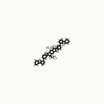 CC1(C)c2cc3c(cc2-c2oc4ccc(-c5cccc6c5oc5ccccc56)cc4c21)C(C)(C)c1c-3oc2ccc(-c3cccc4c3oc3ccccc34)cc12